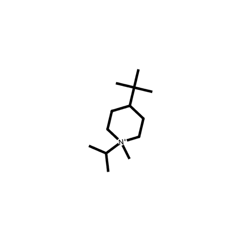 CC(C)[N+]1(C)CCC(C(C)(C)C)CC1